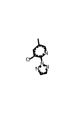 Cc1cnc(-n2nccn2)c(Cl)c1